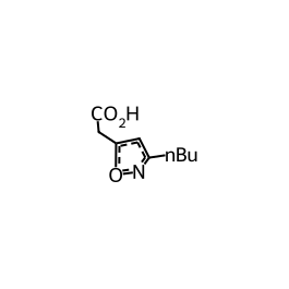 CCCCc1cc(CC(=O)O)on1